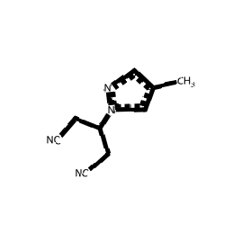 Cc1cnn(C(CC#N)CC#N)c1